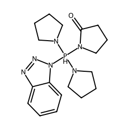 O=C1CCCN1[PH](N1CCCC1)(N1CCCC1)n1nnc2ccccc21